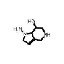 NN1CC=C2CNCC(O)C21